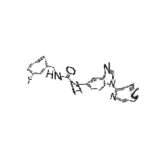 O=C(NCc1cccc(F)c1)Nc1ccc2c(c1)ncn2-c1cscn1